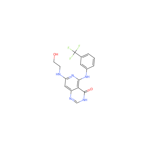 O=c1[nH]cnc2cc(NCCO)nc(Nc3cccc(C(F)(F)F)c3)c12